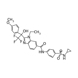 CCn1c(C(O)(c2ccc(OC)cc2)C(F)(F)F)nc2ccc(C(=O)Nc3ccc(S(=O)(=O)NC4CC4)cc3)cc21